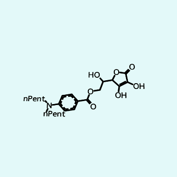 CCCCCN(CCCCC)c1ccc(C(=O)OCC(O)C2OC(=O)C(O)=C2O)cc1